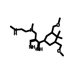 CNCCN(C)C/C(=C/N)C(=N)C1CC(COC)C(C)(C)C(COC)C1